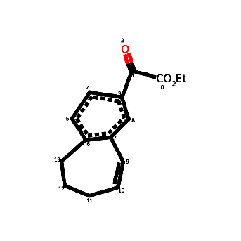 CCOC(=O)C(=O)c1ccc2c(c1)C=CCCC2